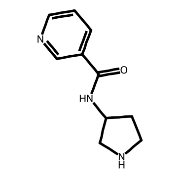 O=C(NC1CCNC1)c1cccnc1